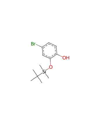 CC(C)(C)[Si](C)(C)Oc1cc(Br)ccc1O